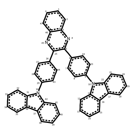 c1ccc2nc(-c3ccc(-n4c5ccccc5c5ccccc54)cc3)c(-c3ccc(-n4c5ccccc5c5ccccc54)cc3)nc2c1